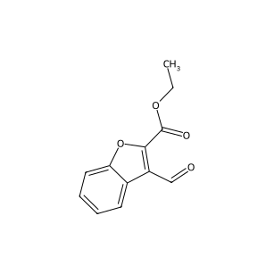 CCOC(=O)c1oc2ccccc2c1C=O